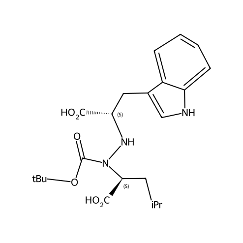 CC(C)C[C@@H](C(=O)O)N(N[C@@H](Cc1c[nH]c2ccccc12)C(=O)O)C(=O)OC(C)(C)C